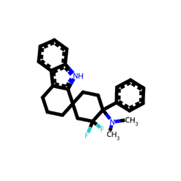 CN(C)C1(c2ccccc2)CCC2(CCCc3c2[nH]c2ccccc32)CC1(F)F